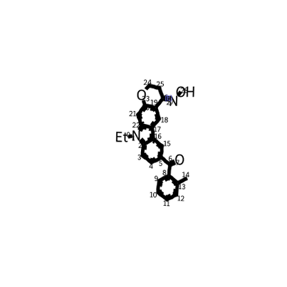 CCn1c2ccc(C(=O)c3ccccc3C)cc2c2cc3c(cc21)OCC/C3=N\O